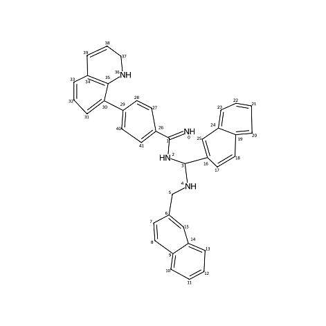 N=C(NC(NCc1ccc2ccccc2c1)c1ccc2ccccc2c1)c1ccc(-c2cccc3c2NCC=C3)cc1